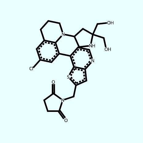 O=C1CCC(=O)N1Cc1cc2nccc(-c3cc(Cl)cc4c3N(C3CNC(CO)(CO)C3)CCC4)c2s1